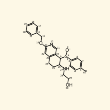 [O-][S+](c1ccc(F)cc1)C1c2cnc(OCc3ccccc3)cc2CCC1NCCO